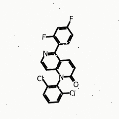 O=c1ccc2c(-c3ccc(F)cc3F)nccc2n1-c1c(Cl)cccc1Cl